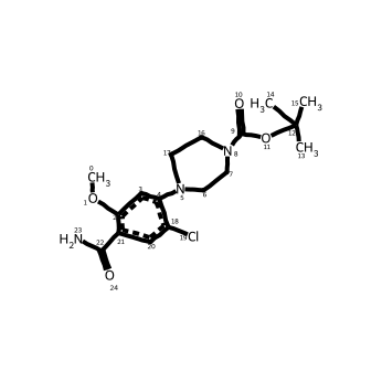 COc1cc(N2CCN(C(=O)OC(C)(C)C)CC2)c(Cl)cc1C(N)=O